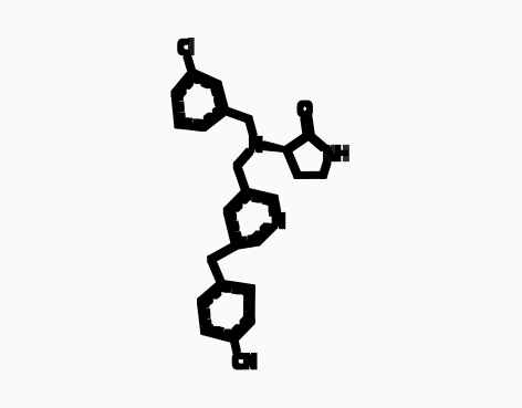 N#Cc1ccc(Cc2cncc(CN(Cc3cccc(Cl)c3)[C@@H]3CCNC3=O)c2)cc1